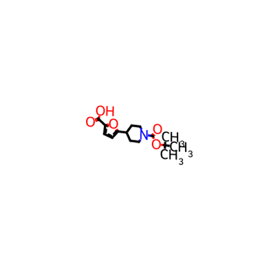 CC(C)(C)OC(=O)N1CCC(c2ccc(C(=O)O)o2)CC1